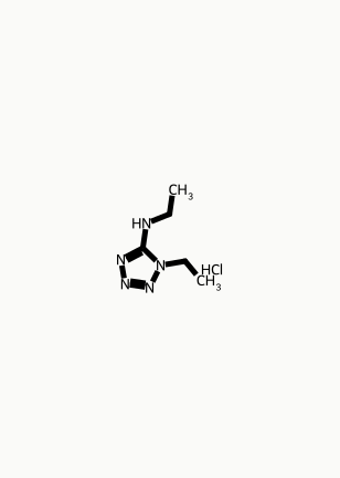 CCNc1nnnn1CC.Cl